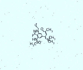 C/C(C=O)=C/C(=C\N(C)C)c1cc(N[S+](C)[O-])c2c(F)nn(CC3CC3)c2c1